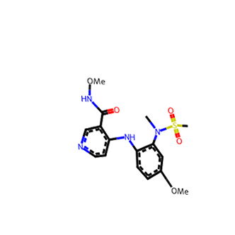 CONC(=O)c1cnccc1Nc1ccc(OC)cc1N(C)S(C)(=O)=O